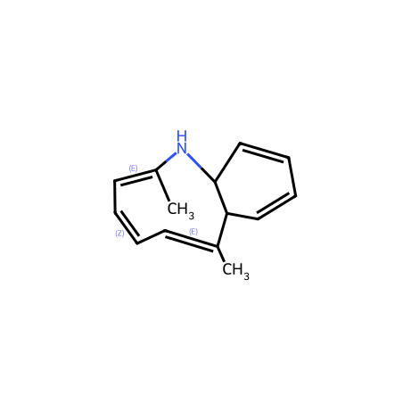 C\C1=C/C=C\C=C(/C)C2C=CC=CC2N1